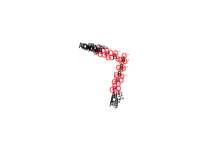 O=P([O-])([O-])[O-].O=P([O-])([O-])[O-].O=P([O-])([O-])[O-].O=P([O-])([O-])[O-].[Ag+].[Ag+].[Ag+].[Al+3].[Al+3].[Al+3].[Ca+2].[Ca+2].[Ca+2].[Mg+2].[Mg+2].[Mg+2].[O-]B([O-])[O-].[O-]B([O-])[O-].[O-]B([O-])[O-].[O-]B([O-])[O-]